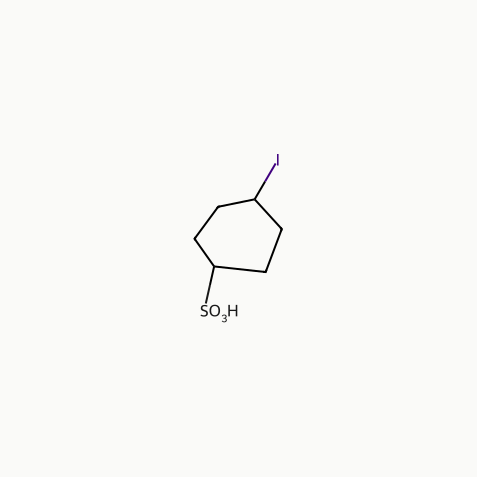 O=S(=O)(O)C1CCC(I)CC1